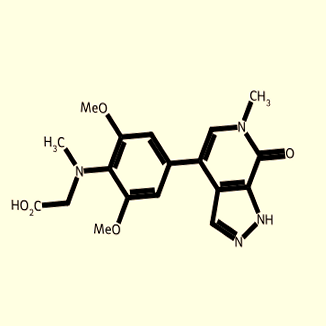 COc1cc(-c2cn(C)c(=O)c3[nH]ncc23)cc(OC)c1N(C)CC(=O)O